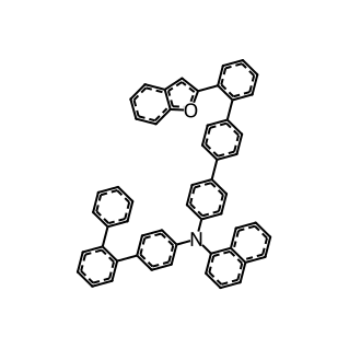 c1ccc(-c2ccccc2-c2ccc(N(c3ccc(-c4ccc(-c5ccccc5-c5cc6ccccc6o5)cc4)cc3)c3cccc4ccccc34)cc2)cc1